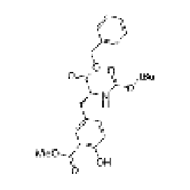 COC(=O)c1cc(C[C@H](NC(=O)OC(C)(C)C)C(=O)OCc2ccccc2)ccc1O